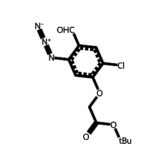 CC(C)(C)OC(=O)COc1cc(N=[N+]=[N-])c(C=O)cc1Cl